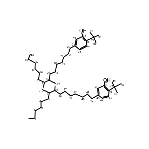 CCCCCCC1SC(CCCCCC)C(CCCCCCCc2ccc(C(C)(C)C)c(O)c2)SC1CCCCCCCc1ccc(C(C)(C)C)c(O)c1